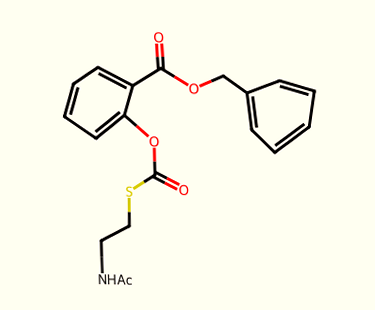 CC(=O)NCCSC(=O)Oc1ccccc1C(=O)OCc1ccccc1